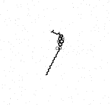 CCCCCCCCCCCCCCCCCCC(=O)O[C@H]1CC[C@@]2(C)C(=CC[C@H]3[C@@H]4CC[C@H]([C@H](C)CCCC(C)C)[C@@]4(C)CC[C@@H]32)C1